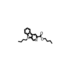 CCCCOC(=O)c1cc2c3ccccc3n(CCCC)c2cn1